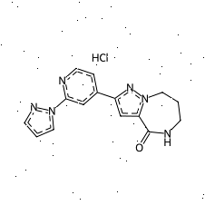 Cl.O=C1NCCCn2nc(-c3ccnc(-n4cccn4)c3)cc21